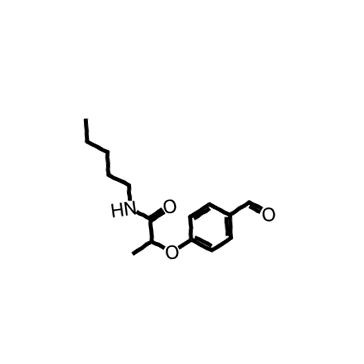 CCCCCNC(=O)C(C)Oc1ccc(C=O)cc1